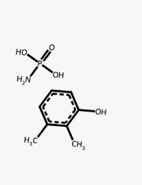 Cc1cccc(O)c1C.NP(=O)(O)O